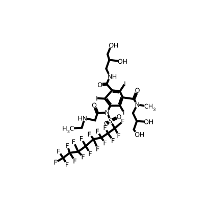 CCNCC(=O)N(c1c(I)c(C(=O)NCC(O)CO)c(I)c(C(=O)N(C)CC(O)CO)c1I)S(=O)(=O)C(F)(F)C(F)(F)C(F)(F)C(F)(F)C(F)(F)C(F)(F)C(F)(F)C(F)(F)F